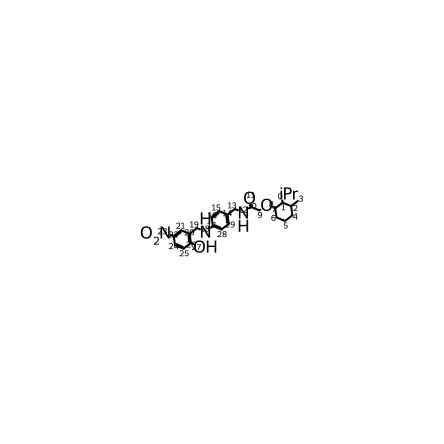 CC(C)C1C(C)CCCC1OCC(=O)NCc1ccc(NCc2cc([N+](=O)[O-])ccc2O)cc1